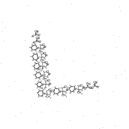 CC(CCl)(CBr)[n+]1ccccc1.CC(CCl)(CBr)[n+]1ccccc1.CC(CCl)(CBr)[n+]1ccccc1.CC(CCl)(CBr)[n+]1ccccc1.CC(CCl)(CBr)[n+]1ccccc1.CC(CCl)(CBr)[n+]1ccccc1.CC(CCl)(CBr)[n+]1ccccc1.CC(CCl)(CBr)[n+]1ccccc1.N#CB([O-])[O-].N#CB([O-])[O-].N#CB([O-])[O-].N#CB([O-])[O-]